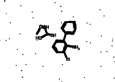 CCc1cccc(-c2ccccc2)c1N.CO.OB(O)O